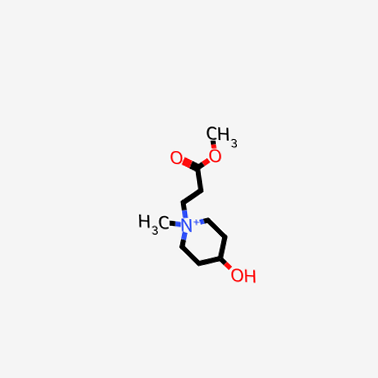 COC(=O)CC[N+]1(C)CCC(O)CC1